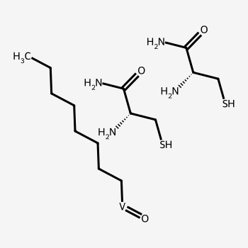 CCCCCCC[CH2][V]=[O].NC(=O)[C@@H](N)CS.NC(=O)[C@@H](N)CS